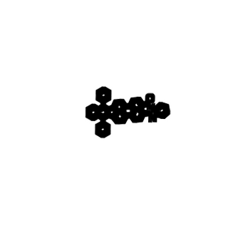 O=c1c2ccc3c4ccc5c6c(ccc(c7ccc(c2c37)c2nc3ccccc3n12)c64)-c1c-5c(-c2ccccc2)c2ccccc2c1-c1ccccc1